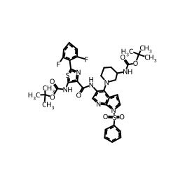 CC(C)(C)OC(=O)Nc1sc(-c2c(F)cccc2F)nc1C(=O)Nc1cnc2c(ccn2S(=O)(=O)c2ccccc2)c1N1CCCC(NC(=O)OC(C)(C)C)C1